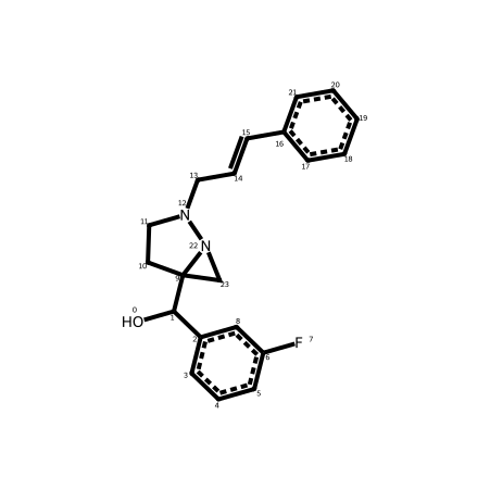 OC(c1cccc(F)c1)C12CCN(C/C=C/c3ccccc3)N1C2